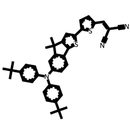 CC(C)(C)c1ccc(N(c2ccc(C(C)(C)C)cc2)c2ccc3c(c2)C(C)(C)c2cc(-c4ccc(C=C(C#N)C#N)s4)sc2-3)cc1